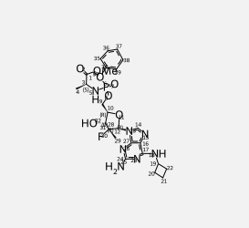 COC(=O)[C@H](C)NP(=O)(OC[C@H]1O[C@@H](n2cnc3c(NC4CCC4)nc(N)nc32)[C@](C)(F)[C@@H]1O)Oc1ccccc1